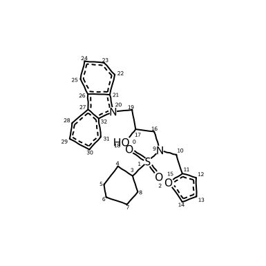 O=S(=O)(C1CCCCC1)N(Cc1ccco1)CC(O)Cn1c2ccccc2c2ccccc21